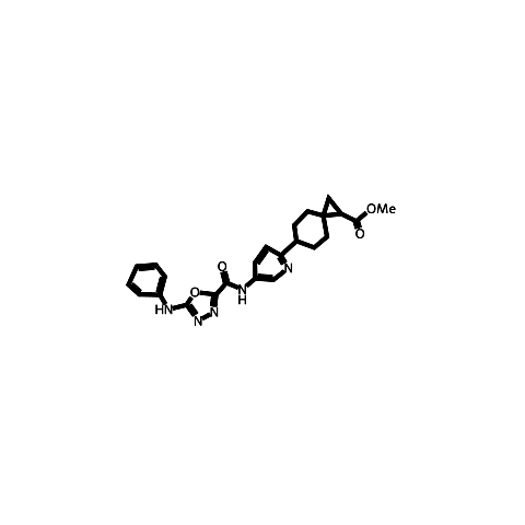 COC(=O)C1CC12CCC(c1ccc(NC(=O)c3nnc(Nc4ccccc4)o3)cn1)CC2